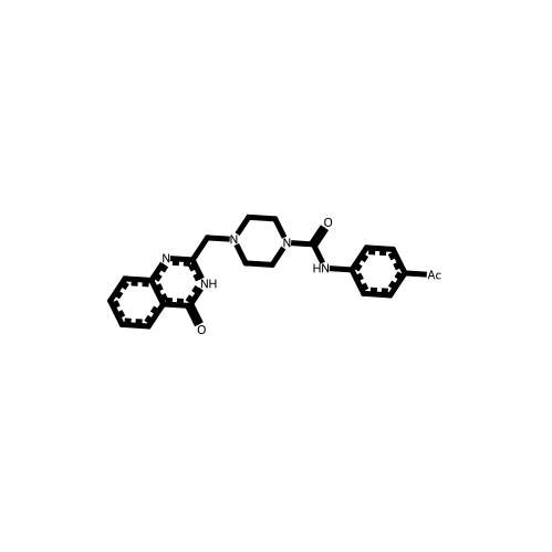 CC(=O)c1ccc(NC(=O)N2CCN(Cc3nc4ccccc4c(=O)[nH]3)CC2)cc1